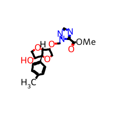 COC(=O)c1ncnn1CO[C@@H]1CO[C@@]2(c3ccc(C)cc3)[C@@H]1OC[C@@H]2O